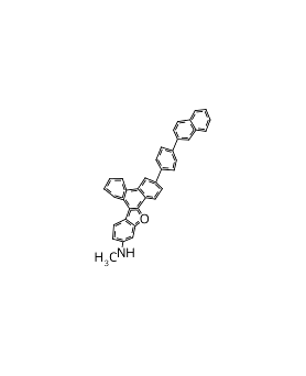 CNc1ccc2c(c1)oc1c3ccc(-c4ccc(-c5ccc6ccccc6c5)cc4)cc3c3ccccc3c21